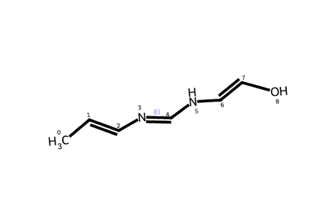 CC=C/N=C/NC=CO